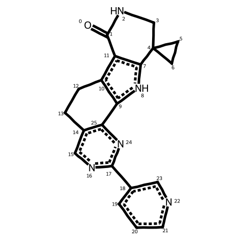 O=C1NCC2(CC2)c2[nH]c3c(c21)CCc1cnc(-c2cccnc2)nc1-3